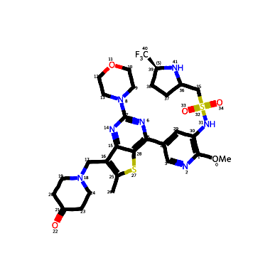 COc1ncc(-c2nc(N3CCOCC3)nc3c(CN4CCC(=O)CC4)c(C)sc23)cc1NS(=O)(=O)CC1CC[C@@H](C(F)(F)F)N1